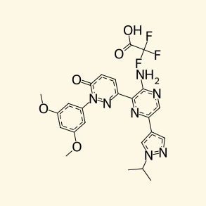 COc1cc(OC)cc(-n2nc(-c3nc(-c4cnn(C(C)C)c4)cnc3N)ccc2=O)c1.O=C(O)C(F)(F)F